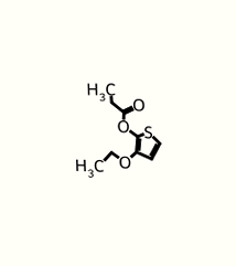 CCOc1ccsc1OC(=O)CC